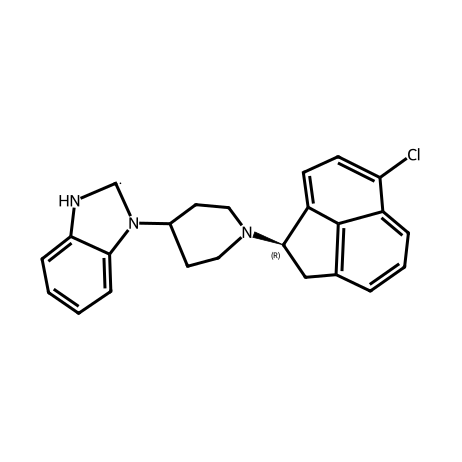 Clc1ccc2c3c(cccc13)C[C@H]2N1CCC(N2[CH]Nc3ccccc32)CC1